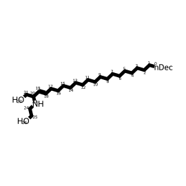 CCCCCCCCCCCCCCCCCCCCCCCCCCC/C=C/C(CO)NCCO